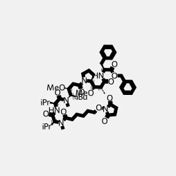 CC[C@H](C)[C@@H]([C@@H](CC(=O)N1CCC[C@H]1[C@H](OC)[C@@H](C)C(=O)N[C@@H](Cc1ccccc1)C(=O)OCc1ccccc1)OC)N(C)C(=O)[C@@H](NC(=O)[C@H](C(C)C)N(C)C(=O)CCCCCON1C(=O)CCC1=O)C(C)C